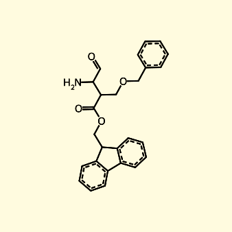 NC(C=O)C(COCc1ccccc1)C(=O)OCC1c2ccccc2-c2ccccc21